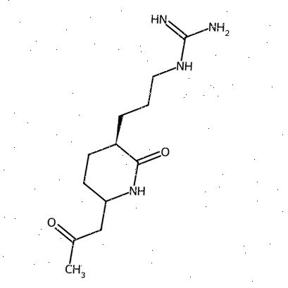 CC(=O)CC1CC[C@@H](CCCNC(=N)N)C(=O)N1